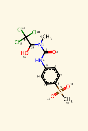 CN(C(=O)Nc1ccc(S(C)(=O)=O)cc1)C(O)C(Cl)(Cl)Cl